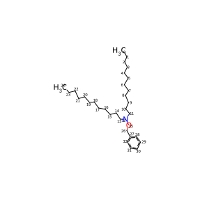 CCCCCCCCCCCCN(CCCCCCCCCCCC)OCc1ccccc1